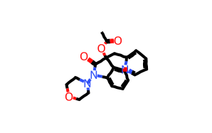 CC(=O)OC1(Cc2ccccn2)C(=O)N(N2CCOCC2)c2ccccc21